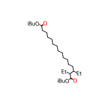 CCC(CCCCCCCCCCCCC(=O)OCC(C)C)C(CC)C(=O)OCC(C)C